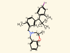 CC[C@@H]1CN(Cc2cc(C(c3ccc(I)cc3C)C(C)(C)C(C)=O)ccc2C)Cc2ccccc2O1